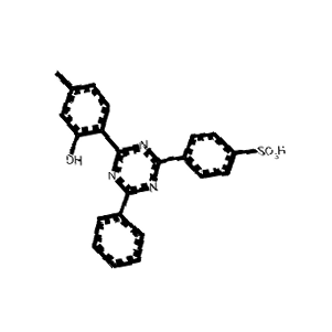 Cc1ccc(-c2nc(-c3ccccc3)nc(-c3ccc(S(=O)(=O)O)cc3)n2)c(O)c1